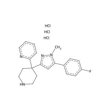 Cl.Cl.Cl.Cn1nc(C2(c3ccccn3)CCNCC2)cc1-c1ccc(F)cc1